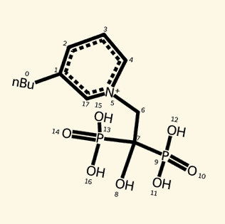 CCCCc1ccc[n+](CC(O)(P(=O)(O)O)P(=O)(O)O)c1